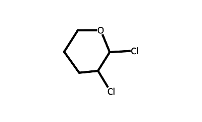 ClC1CCCOC1Cl